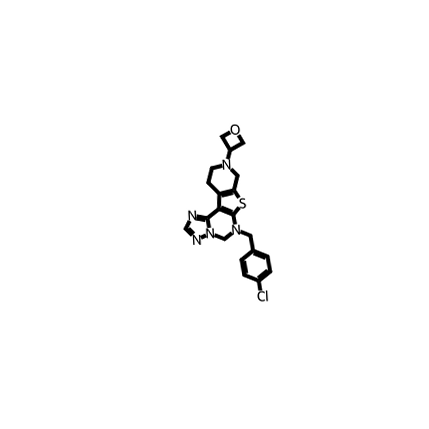 Clc1ccc(CN2Cn3ncnc3-c3c2sc2c3CCN(C3COC3)C2)cc1